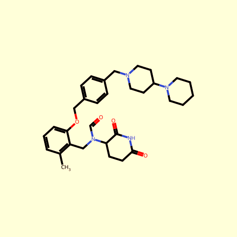 Cc1cccc(OCc2ccc(CN3CCC(N4CCCCC4)CC3)cc2)c1CN(C=O)C1CCC(=O)NC1=O